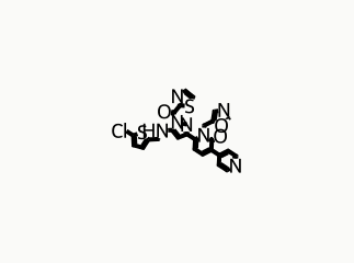 O=C(c1nccs1)n1nc(-c2ccc(-c3ccncc3)c(=O)n2Cc2cnco2)cc1NCc1ccc(Cl)s1